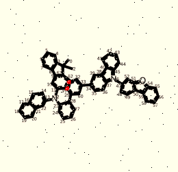 CC1(C)c2ccccc2-c2cc(N(c3ccc4ccccc4c3)c3ccccc3-c3cccc(-c4ccc5c(c4)c4ccccc4n5-c4ccc5c(c4)oc4ccccc45)c3)ccc21